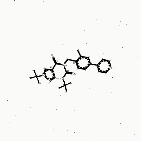 Cc1cc(-c2[c]cncc2)ccc1CN(C(=O)OC(C)(C)C)C(=O)c1cn(C(C)(C)C)nn1